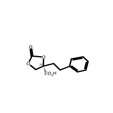 O=C1OC[C@@](CCc2ccccc2)(C(=O)O)O1